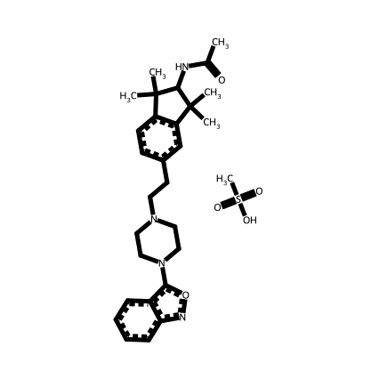 CC(=O)NC1C(C)(C)c2ccc(CCN3CCN(c4onc5ccccc45)CC3)cc2C1(C)C.CS(=O)(=O)O